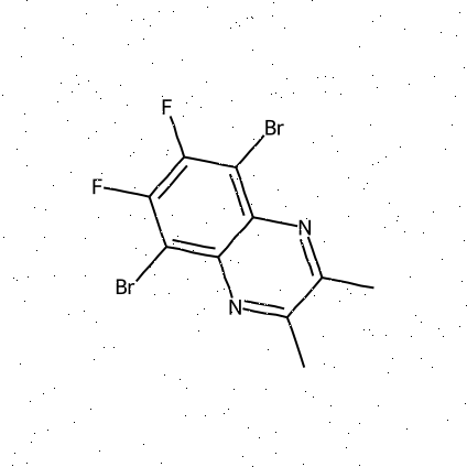 Cc1nc2c(Br)c(F)c(F)c(Br)c2nc1C